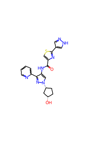 O=C(Nc1cn([C@@H]2CC[C@H](O)C2)nc1-c1ccccn1)c1csc(-c2cn[nH]c2)n1